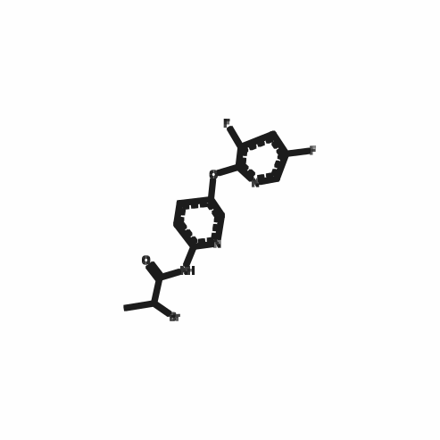 CC(Br)C(=O)Nc1ccc(Oc2ncc(F)cc2F)cn1